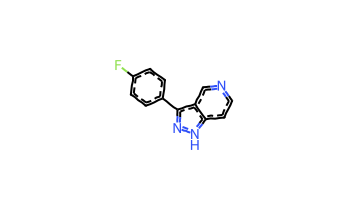 Fc1ccc(-c2n[nH]c3ccncc23)cc1